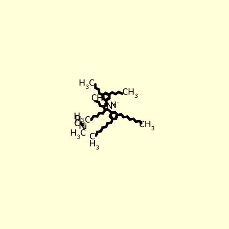 CCCCCCCCc1cc(CCCCCCCC)cc(C2=C(CCCCCC)C(CCCC)=C(c3cc(CCCCC)cc(CCCCC)c3)[N+]2=[N-])c1.C[CH2][Ni][CH2]C